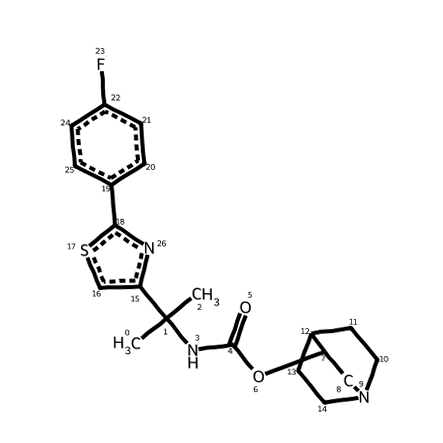 CC(C)(NC(=O)OC1CN2CCC1CC2)c1csc(-c2ccc(F)cc2)n1